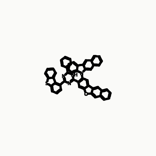 c1ccc(C2N=C(c3cccc4sc5ccccc5c34)N=C(c3cc4oc5cc6ccccc6cc5c4cc3-n3c4ccccc4c4cc5ccccc5cc43)N2)cc1